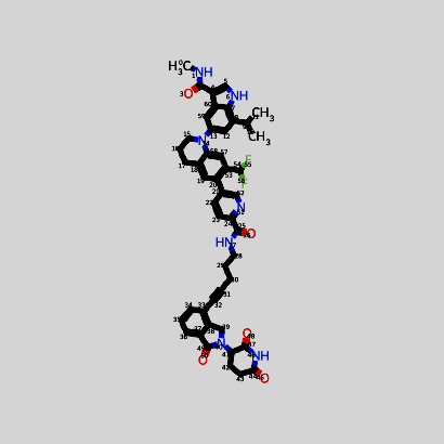 CNC(=O)c1c[nH]c2c(C(C)C)cc(N3CCCc4cc(-c5ccc(C(=O)NCCCC#Cc6cccc7c6CN(C6CCC(=O)NC6=O)C7=O)nc5)c(C(F)F)cc43)cc12